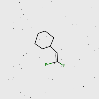 FC(F)=CC1CCCCC1